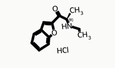 CCN[C@H](C)C(=O)c1cc2ccccc2o1.Cl